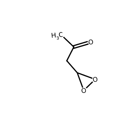 CC(=O)CC1OO1